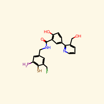 O=C(NCc1cc(P)c(S)c(CF)c1)c1cc(-c2ncccc2CO)ccc1O